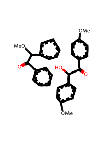 COC(C(=O)c1ccccc1)c1ccccc1.COc1ccc(C(=O)C(O)c2ccc(OC)cc2)cc1